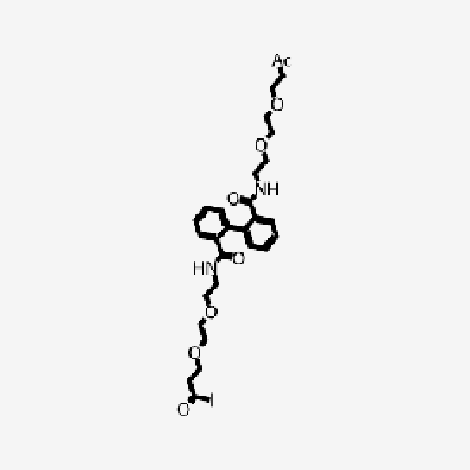 CC(=O)CCOCCOCCNC(=O)c1ccccc1-c1ccccc1C(=O)NCCOCCOCCC(=O)I